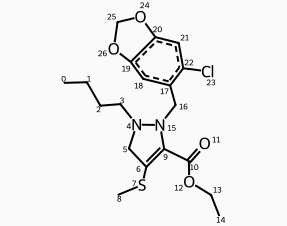 CCCCN1CC(SC)=C(C(=O)OCC)N1Cc1cc2c(cc1Cl)OCO2